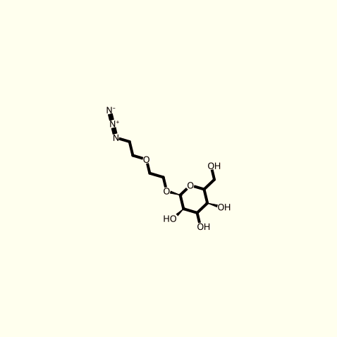 [N-]=[N+]=NCCOCCO[C@H]1OC(CO)[C@@H](O)C(O)[C@H]1O